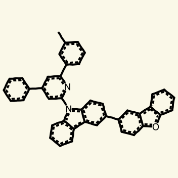 Cc1cccc(-c2cc(-c3ccccc3)cc(-n3c4ccccc4c4cc(-c5ccc6oc7ccccc7c6c5)ccc43)n2)c1